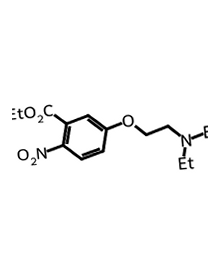 CCOC(=O)c1cc(OCCN(CC)CC)ccc1[N+](=O)[O-]